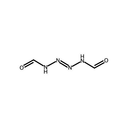 O=CN/N=N/NC=O